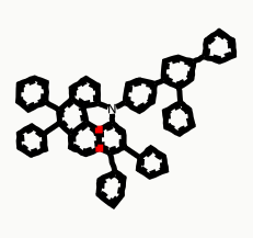 c1ccc(-c2ccc(-c3ccc(N(c4ccc(-c5ccccc5)c(-c5ccccc5)c4)c4cccc5c(-c6ccccc6)c(-c6ccccc6)c6ccccc6c45)cc3)c(-c3ccccc3)c2)cc1